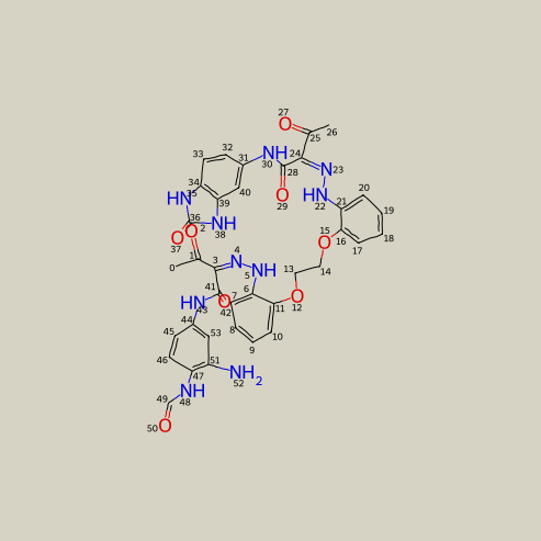 CC(=O)/C(=N/Nc1ccccc1OCCOc1ccccc1N/N=C(/C(C)=O)C(=O)Nc1ccc2[nH]c(=O)[nH]c2c1)C(=O)Nc1ccc(NC=O)c(N)c1